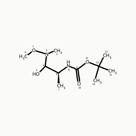 CON(C)C(O)[C@H](C)NC(=O)OC(C)(C)C